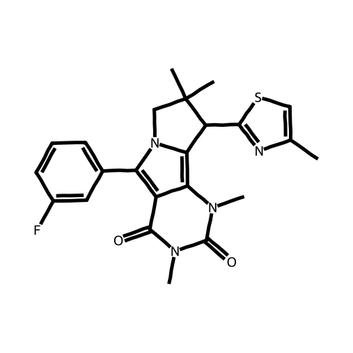 Cc1csc(C2c3c4c(c(-c5cccc(F)c5)n3CC2(C)C)c(=O)n(C)c(=O)n4C)n1